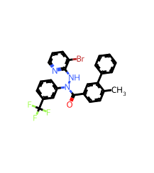 Cc1ccc(C(=O)N(Nc2ncccc2Br)c2cccc(C(F)(F)F)c2)cc1-c1ccccc1